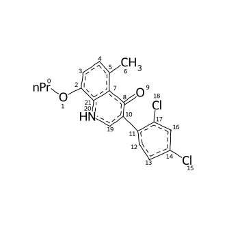 CCCOc1ccc(C)c2c(=O)c(-c3ccc(Cl)cc3Cl)c[nH]c12